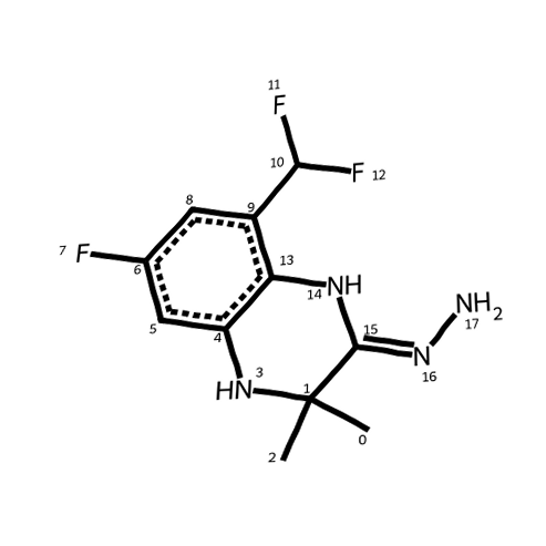 CC1(C)Nc2cc(F)cc(C(F)F)c2NC1=NN